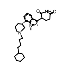 Cn1nc(C2CCC(=O)NC2=O)c2cccc([C@@H]3CCCN(CCCCC4CCCCC4)C3)c21